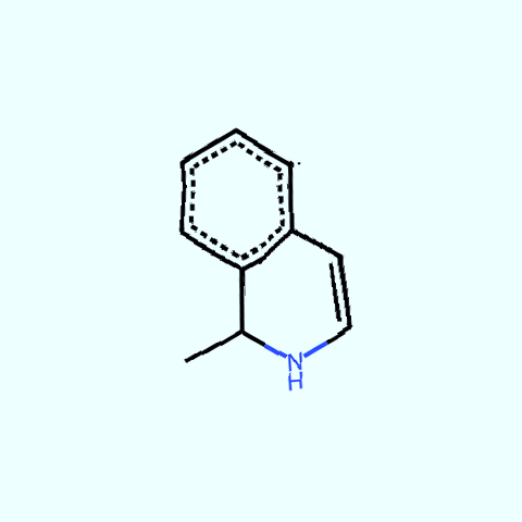 CC1NC=Cc2[c]cccc21